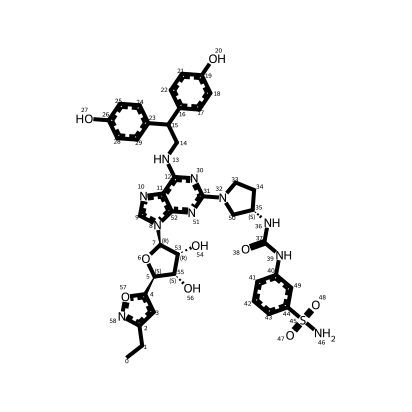 CCc1cc([C@H]2O[C@@H](n3cnc4c(NCC(c5ccc(O)cc5)c5ccc(O)cc5)nc(N5CC[C@H](NC(=O)Nc6cccc(S(N)(=O)=O)c6)C5)nc43)[C@H](O)[C@@H]2O)on1